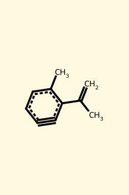 C=C(C)c1c#cccc1C